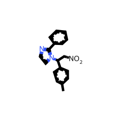 Cc1ccc(C(C[N+](=O)[O-])n2ccnc2-c2ccccc2)cc1